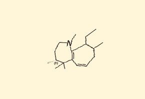 CCC1C2=C(C=CCC1C)C(C)(C)[C@H](C)CCN2C